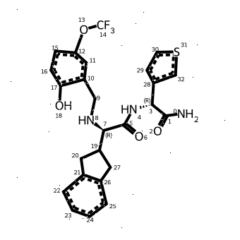 NC(=O)[C@H](NC(=O)[C@H](NCc1cc(OC(F)(F)F)ccc1O)C1Cc2ccccc2C1)c1ccsc1